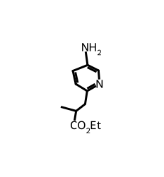 CCOC(=O)C(C)Cc1ccc(N)cn1